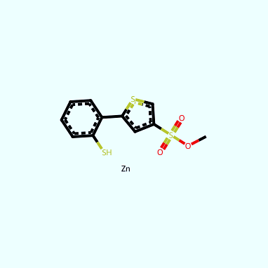 COS(=O)(=O)c1csc(-c2ccccc2S)c1.[Zn]